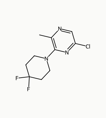 Cc1ncc(Cl)nc1N1CCC(F)(F)CC1